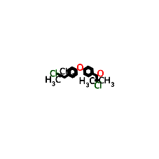 CC(C)(Cl)Cc1ccc(Oc2ccc(C(=O)C(C)(C)Cl)cc2)cc1